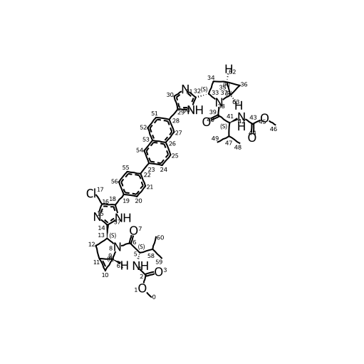 COC(=O)N[C@H](C(=O)N1[C@@H]2C=C2C[C@H]1c1nc(Cl)c(-c2ccc(-c3ccc4cc(-c5cnc([C@@H]6C[C@H]7C[C@H]7N6C(=O)[C@@H](NC(=O)OC)C(C)C)[nH]5)ccc4c3)cc2)[nH]1)C(C)C